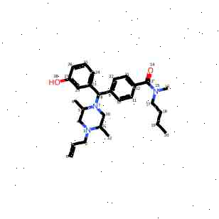 C=CCN1CC(C)N(C(c2ccc(C(=O)N(C)CCCC)cc2)c2cccc(O)c2)CC1C